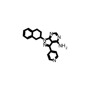 Nc1ncnc2c1c(-c1ccncc1)nn2C1CCc2ccccc2C1